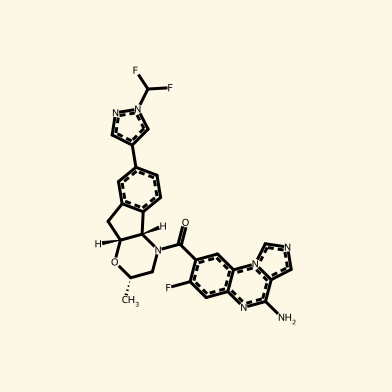 C[C@H]1CN(C(=O)c2cc3c(cc2F)nc(N)c2cncn23)[C@H]2c3ccc(-c4cnn(C(F)F)c4)cc3C[C@H]2O1